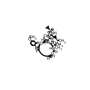 C=C[C@@H]1C[C@]1(NC(=O)[C@@H]1[C@H](CC)[C@@H]2CN1C(=O)[C@H](C(C)(C)C)NC(=O)O[C@@H]1C[C@H]1CCCCC(F)(F)c1nc3ccc(OC)cc3nc1O2)C(=O)NS(=O)(=O)C1CC1